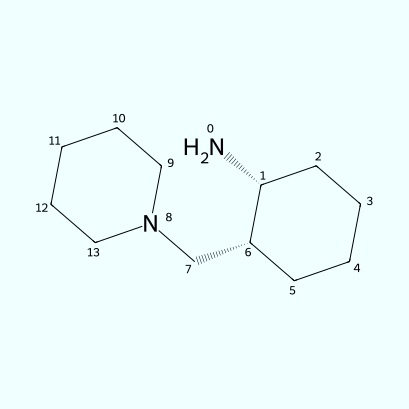 N[C@@H]1CCCC[C@@H]1CN1CCCCC1